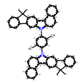 CC1(C)c2ccccc2-c2cc3c(cc21)c1c2ccccc2ccc1n3-c1cc(C#N)c(-n2c3cc4c(cc3c3c5ccccc5ccc32)C(C)(C)c2ccccc2-4)cc1C#N